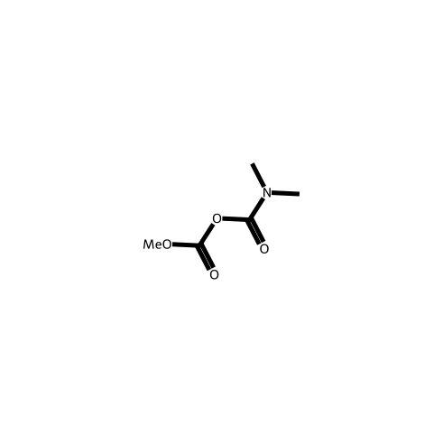 COC(=O)OC(=O)N(C)C